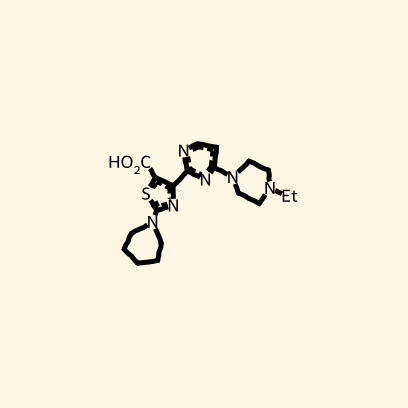 CCN1CCN(c2ccnc(-c3nc(N4CCCCC4)sc3C(=O)O)n2)CC1